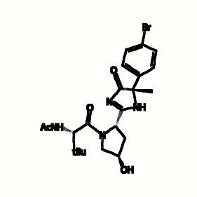 CC(=O)N[C@H](C(=O)N1C[C@H](O)C[C@H]1C1=NC(=O)[C@](C)(c2ccc(Br)cc2)N1)C(C)(C)C